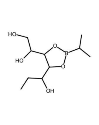 CCC(O)C1OB(C(C)C)OC1C(O)CO